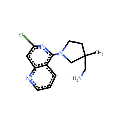 CC1(CN)CCN(c2nc(Cl)cc3ncccc23)C1